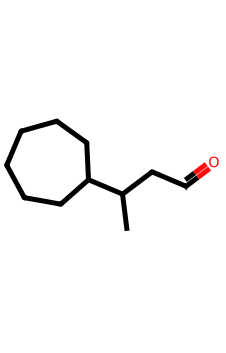 CC(C[C]=O)C1CCCCCC1